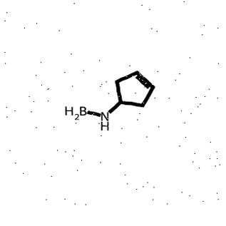 BNC1CC=CC1